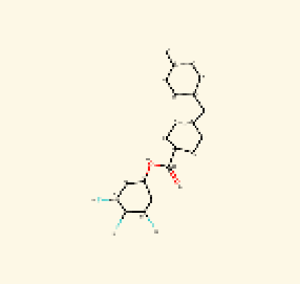 CC1CCC(CC2CCC(C(=O)OC3CC(F)C(F)C(F)C3)CC2)CC1